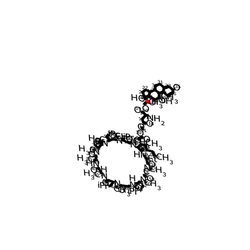 CC=CC[C@@H](C)C(OC(=O)OCOC(=O)C[C@@H](N)C(=O)OCC(=O)[C@@]1(O)CCC2C3CCC4=CC(=O)C=C[C@]4(C)C3[C@@H](O)C[C@@]21C)C1C(=O)NC(CC)C(=O)N(C)CC(=O)N(C)[C@@H](CC(C)C)C(=O)NC(C(C)C)C(=O)N(C)C(CC(C)C)C(=O)NC(C)C(=O)NC(C)C(=O)N(C)C(CC(C)C)C(=O)N(C)C(CC(C)C)C(=O)N(C)C(C(C)C)C(=O)N1C